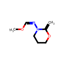 C=C1OCCCN1/N=C\OC